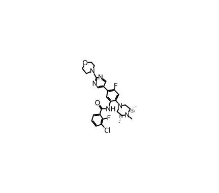 C[C@@H]1CN(c2cc(F)c(-c3cnc(N4CCOCC4)nc3)cc2NC(=O)c2cccc(Cl)c2F)C[C@H](C)N1C